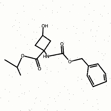 CC(C)OC(=O)C1(NC(=O)OCc2ccccc2)CC(O)C1